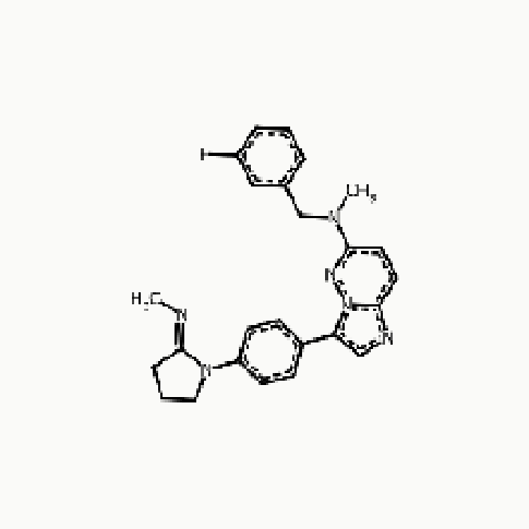 C/N=C1\CCCN1c1ccc(-c2cnc3ccc(N(C)Cc4cccc(F)c4)nn23)cc1